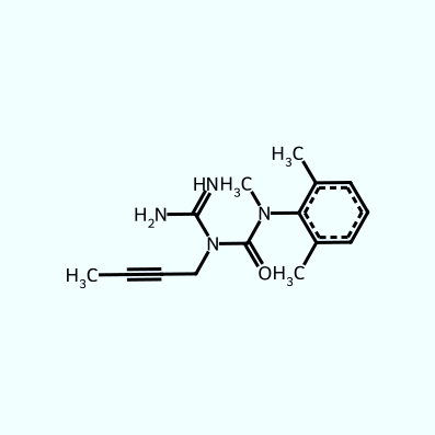 CC#CCN(C(=N)N)C(=O)N(C)c1c(C)cccc1C